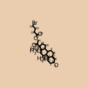 CC12CCC(=O)C=C1CCC1C2C(O)CC2(C)C1CCC2(O)C(=O)COC(=O)CCCBr